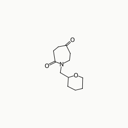 O=C1CCC(=O)N(CC2CCCCO2)CC1